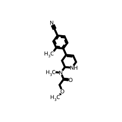 COCC(=O)N(C)[C]1CC(c2ccc(C#N)cc2C)=CCN1